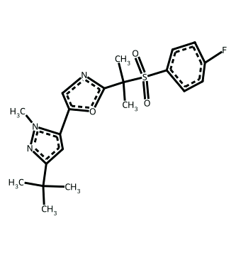 Cn1nc(C(C)(C)C)cc1-c1cnc(C(C)(C)S(=O)(=O)c2ccc(F)cc2)o1